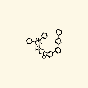 c1ccc(C2=NC(c3ccccc3)NC(c3ccc4oc5ccc(-c6cccc(-c7ccc(-c8ccccc8)cc7)c6)cc5c4c3)=N2)cc1